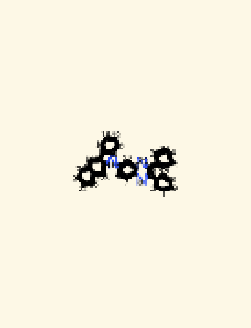 c1ccc(-c2nc3ccc(-n4c5ccccc5c5cc6ccccc6cc54)cc3nc2-c2ccccc2)cc1